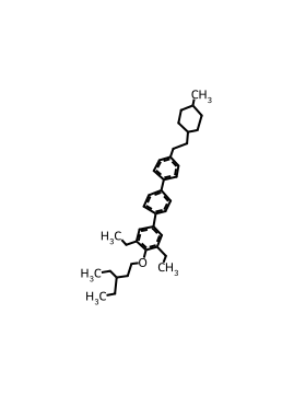 CCc1cc(-c2ccc(-c3ccc(CCC4CCC(C)CC4)cc3)cc2)cc(CC)c1OCCC(CC)CC